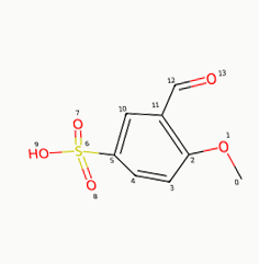 COc1ccc(S(=O)(=O)O)cc1C=O